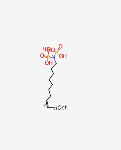 CCCCCCCC/C=C\CCCCCCCN(P(=O)(O)O)P(=O)(O)O